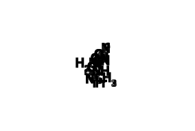 Cc1c(C(C)C)nc2c(c1NC(=O)N=S(N)(=O)c1cnn3c1OCC(N1CCC1)C3)CCC2